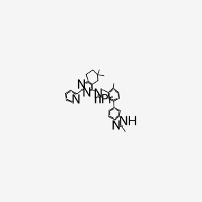 CCCN(Cc1cc(-c2ccc3nc(C)[nH]c3c2)ccc1C)c1nc(-c2ccccn2)nc2c1CC(C)(C)CC2